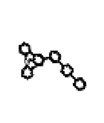 c1ccc(-c2ccc(-c3cccc(-c4cc5c6ccccc6n6c7ccccc7c(c4)c56)c3)cc2)cc1